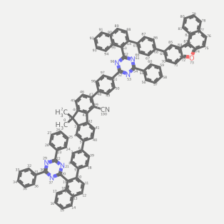 CC1(C)c2cc(-c3ccc(-c4ccc5ccccc5c4-c4nc(-c5ccccc5)nc(-c5ccccc5)n4)cc3)ccc2-c2c1ccc(-c1ccc(-c3nc(-c4ccccc4)nc(-c4c(-c5ccc(-c6ccc7oc8ccc9ccccc9c8c7c6)cc5)ccc5ccccc45)n3)cc1)c2C#N